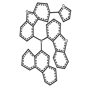 c1coc(-c2ccc3oc4cccc(N(c5cc6ccccc6c6ccccc56)c5cccc6oc7ccccc7c56)c4c3c2)c1